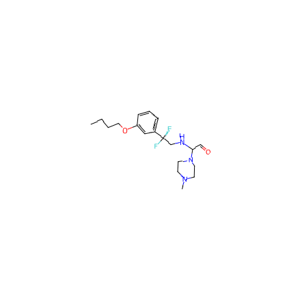 CCCCOc1cccc(C(F)(F)CNC(C=O)N2CCN(C)CC2)c1